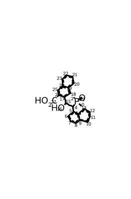 CP(C)(=O)C(c1cccc2ccccc12)C(O)c1cc2ccccc2cc1C(=O)O